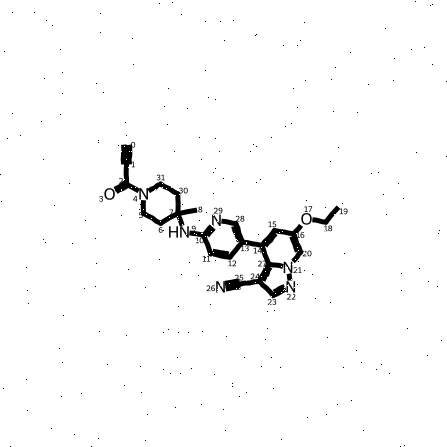 C#CC(=O)N1CCC(C)(Nc2ccc(-c3cc(OCC)cn4ncc(C#N)c34)cn2)CC1